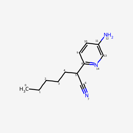 CCCCCC(C#N)c1ccc(N)cn1